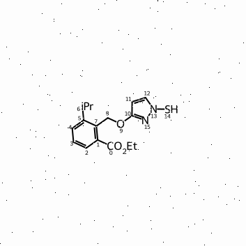 CCOC(=O)c1cccc(C(C)C)c1COc1ccn(S)n1